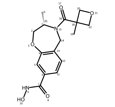 C[C@H]1COc2cc(C(=O)NO)ccc2CN1C(=O)C1(C)COC1